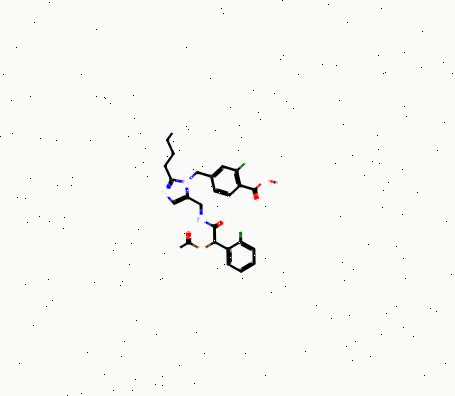 CCCCc1ncc(CNC(=O)C(SC(C)=O)c2ccccc2Cl)n1Cc1ccc(C(=O)OC)c(F)c1